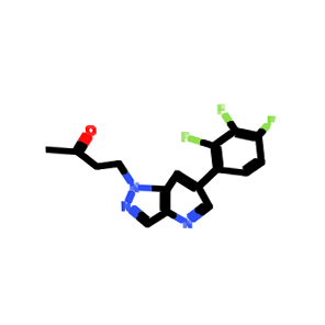 CC(=O)CCn1ncc2ncc(-c3ccc(F)c(F)c3F)cc21